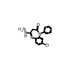 NNC1=Nc2ccc(Cl)cc2N(c2ccccc2)C(=O)C1